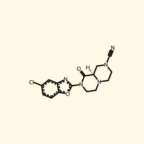 N#CN1CCN2CCN(c3nc4cc(Cl)ccc4o3)C(=O)[C@H]2C1